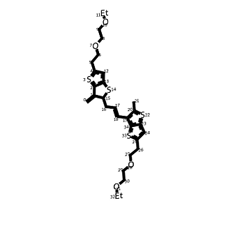 C=C1c2sc(CCOCCOCC)cc2SC1C/C=C/c1c(C)sc2cc(CCOCCOCC)sc12